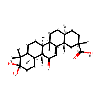 CC1(C)C2CC[C@]3(C)[C@H](C(=O)C=C4[C@H]5C[C@@](C)(C(=O)O)CC[C@]5(C)CC[C@]43C)[C@@]2(C)CCC1(O)O